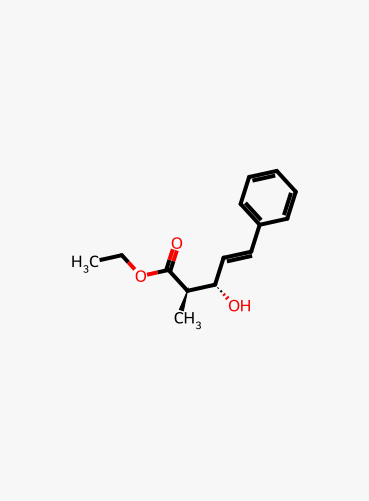 CCOC(=O)[C@H](C)[C@@H](O)/C=C/c1ccccc1